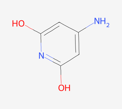 Nc1cc(O)nc(O)c1